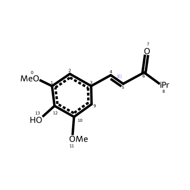 COc1cc(/C=C/C(=O)C(C)C)cc(OC)c1O